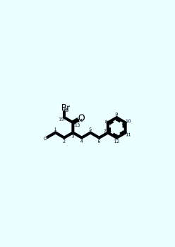 CCCC(CCCc1ccccc1)C(=O)CBr